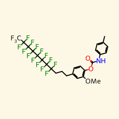 COc1cc(CCCC(F)(F)C(F)(F)C(F)(F)C(F)(F)C(F)(F)C(F)(F)C(F)(F)C(F)(F)F)ccc1OC(=O)Nc1ccc(C)cc1